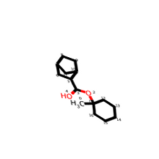 CC1(OC(O)C2CC3CCC2C3)CCCCC1